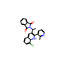 Cc1ncccc1C1=C(C(C)N2C(=O)c3ccccc3C2=O)C=C2C=CC=C(Cl)C2N1